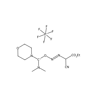 CCOC(=O)C(C#N)N=NO[C+](N(C)C)N1CCOCC1.F[P-](F)(F)(F)(F)F